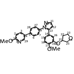 COc1ccc(-c2ccc(-n3nccc3-c3ccc(OC)c(OC4CCOC4)c3)cc2)cn1